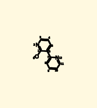 [O]c1ncccc1-c1ccccn1